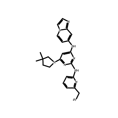 CC(C)Cc1cccc(Nc2nc(Nc3ccn4ccnc4c3)cc(N3CCC(C)(C)C3)n2)n1